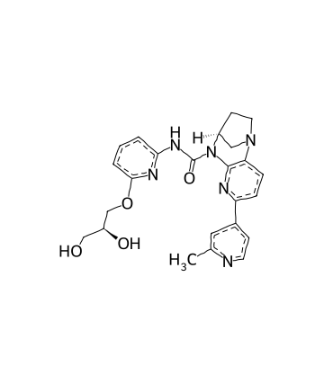 Cc1cc(-c2ccc3c(n2)N(C(=O)Nc2cccc(OC[C@@H](O)CO)n2)[C@H]2CCN3C2)ccn1